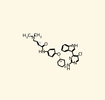 CN(C)C/C=C/C(=O)Nc1ccc(O[C@H]2CCC[C@@H](Nc3ncc(Cl)c(-c4c[nH]c5ccccc45)n3)C2)cc1